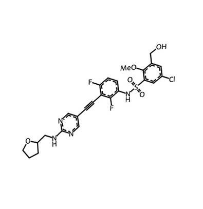 COc1c(CO)cc(Cl)cc1S(=O)(=O)Nc1ccc(F)c(C#Cc2cnc(NCC3CCCO3)nc2)c1F